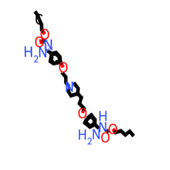 CCCCCOC(=O)/N=C(\N)c1ccc(OCCCN2CCC(CCCOc3ccc(C(N)NC(=O)OCCCCC)cc3)CC2)cc1